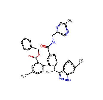 CCC(c1ccc(C(=O)NCc2cnc(C)cn2)cc1-c1ccc(C)cc1C(=O)OCc1ccccc1)c1n[nH]c2cc(C#N)ccc12